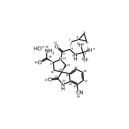 Cl.[2H]C([2H])([2H])N[C@@H](CC1CC1)C(=O)N1C[C@]2(C[C@H]1C(N)=O)C(=O)Nc1c(C#N)cccc12